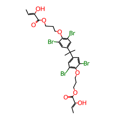 CC=C(O)C(=O)OCCCOc1c(Br)cc(C(C)(C)c2cc(Br)c(OCCCOC(=O)C(O)=CC)c(Br)c2)cc1Br